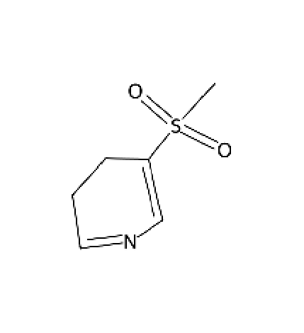 CS(=O)(=O)C1=CN=CCC1